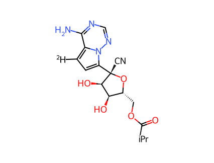 [2H]c1cc([C@]2(C#N)O[C@H](COC(=O)C(C)C)[C@@H](O)[C@H]2O)n2ncnc(N)c12